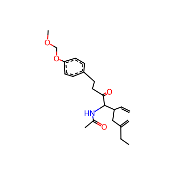 C=CC(CC(=C)CC)C(NC(C)=O)C(=O)CCc1ccc(OCOC)cc1